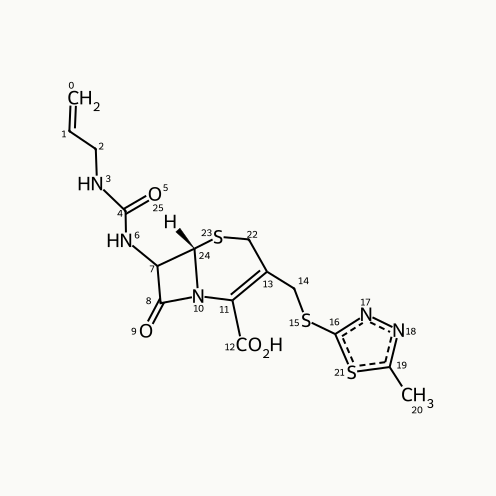 C=CCNC(=O)NC1C(=O)N2C(C(=O)O)=C(CSc3nnc(C)s3)CS[C@@H]12